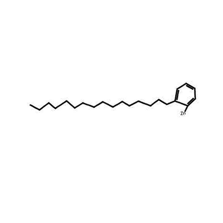 CCCCCCCCCCCCCCCCc1cccc[c]1[Zn]